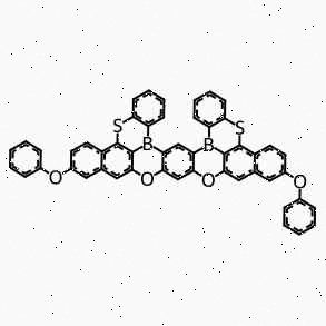 c1ccc(Oc2ccc3c4c5c(cc3c2)Oc2cc3c(cc2B5c2ccccc2S4)B2c4ccccc4Sc4c2c(cc2cc(Oc5ccccc5)ccc42)O3)cc1